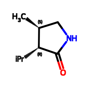 CC(C)[C@H]1C(=O)NC[C@H]1C